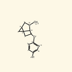 CCc1cnc(OC2CC34CC3CN(C)C24)nc1